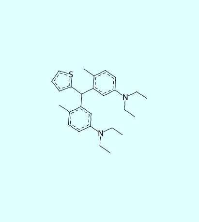 CCN(CC)c1ccc(C)c(C(c2cccs2)c2cc(N(CC)CC)ccc2C)c1